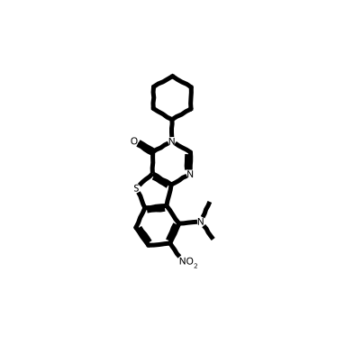 CN(C)c1c([N+](=O)[O-])ccc2sc3c(=O)n(C4CCCCC4)cnc3c12